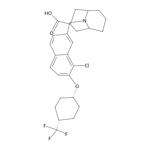 O=C(O)C1CC2CCCC(C1)N2Cc1ccc2ccc(O[C@H]3CC[C@@H](C(F)(F)F)CC3)c(Cl)c2c1